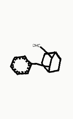 O=CC1C2CCC(CC2)C1c1ccccc1